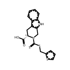 O=C(O)[C@@H]1Cc2c([nH]c3ccccc23)CN1C(=S)SCc1cccs1